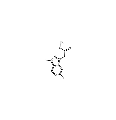 Cc1ccc2c(I)nn(CC(=O)OC(C)(C)C)c2c1